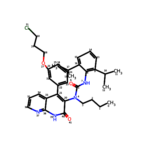 CCCCN(C(=O)Nc1c(C(C)C)cccc1C(C)C)c1c(-c2cccc(OCCCCl)c2)c2cccnc2[nH]c1=O